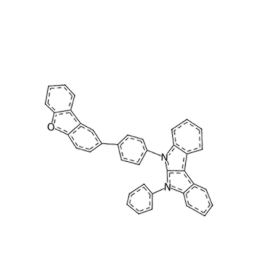 c1ccc(-n2c3ccccc3c3c4ccccc4n(-c4ccc(-c5ccc6oc7ccccc7c6c5)cc4)c32)cc1